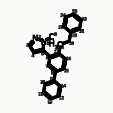 Cn1nccc1-c1cc(-c2ccccc2)ccc1OCc1ccccc1